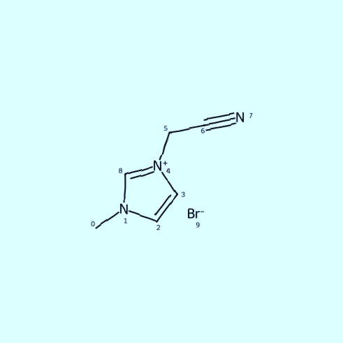 Cn1cc[n+](CC#N)c1.[Br-]